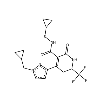 O=C(NSC1CC1)C1=C(c2ccn(CC3CC3)n2)CC(C(F)(F)F)NC1=O